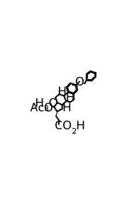 CC(=O)O[C@H]1[C@H](CCC(=O)O)C[C@H]2[C@@H]3CCc4cc(OCc5ccccc5)ccc4[C@H]3CC[C@@]21C